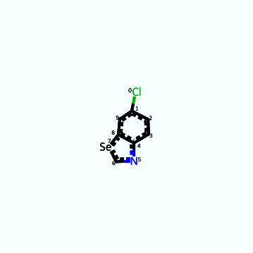 Clc1ccc2nc[se]c2c1